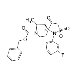 CC1C[C@@]2(CCN1C(=O)OCc1ccccc1)C(=O)CS(=O)(=O)N2c1cccc(F)c1